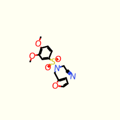 COc1ccc(S(=O)(=O)N(CC#N)Cc2ccco2)cc1OC